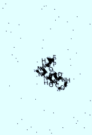 Cc1cc(Nc2cc(NC(=O)C3CC3(F)F)ncn2)c(=O)n2c1C(=O)NCCOCC2